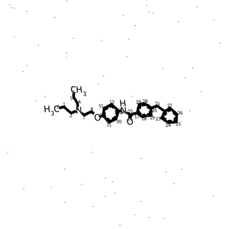 CCCN(CCC)CCOc1ccc(NC(=O)c2ccc(Cc3ccccc3)cc2)cc1